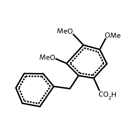 COc1cc(C(=O)O)c(Cc2ccccc2)c(OC)c1OC